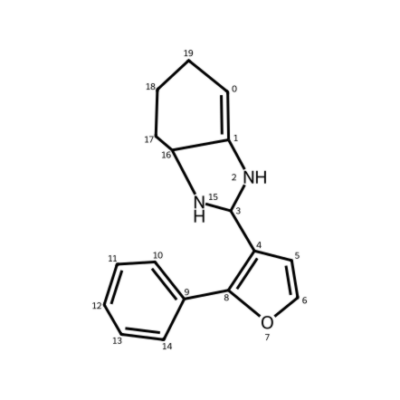 C1=C2NC(c3ccoc3-c3ccccc3)NC2CCC1